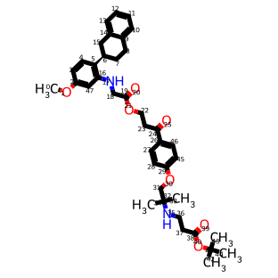 COc1ccc([C@@H]2CCc3c[c]ccc3C2)c(NCC(=O)OCCC(=O)c2ccc(OCC(C)(C)NCCC(=O)OC(C)(C)C)cc2)c1